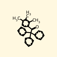 Cc1ccc(C(=O)C(c2ccccc2)(c2ccccc2)c2ccccc2)c(C)c1C